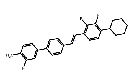 Cc1ccc(-c2ccc(/C=C/c3ccc(C4CCCCC4)c(F)c3F)cc2)cc1F